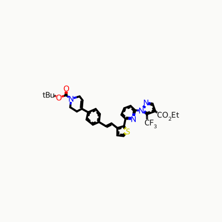 CCOC(=O)c1cnn(-c2cccc(-c3sccc3C=Cc3ccc(C4=CCN(C(=O)OC(C)(C)C)CC4)cc3)n2)c1C(F)(F)F